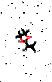 CCC(B1OC(C)(C)C(C)(C)O1)=C(C)C